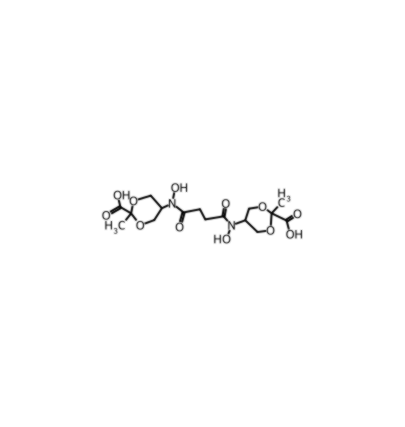 CC1(C(=O)O)OCC(N(O)C(=O)CCC(=O)N(O)C2COC(C)(C(=O)O)OC2)CO1